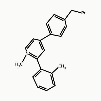 Cc1ccccc1-c1cc(-c2ccc(CC(C)C)cc2)cc[n+]1C